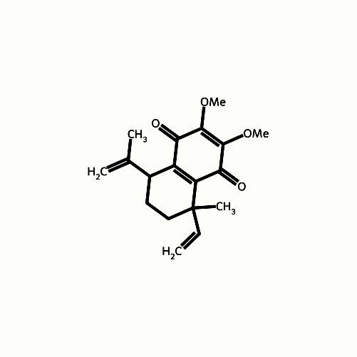 C=CC1(C)CCC(C(=C)C)C2=C1C(=O)C(OC)=C(OC)C2=O